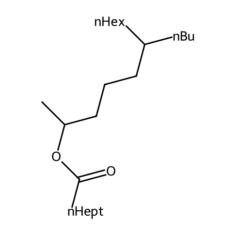 CCCCCCCC(=O)OC(C)CCCC(CCCC)CCCCCC